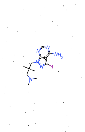 CN(C)CC(C)(C)Cn1nc(I)c2c(N)ncnc21